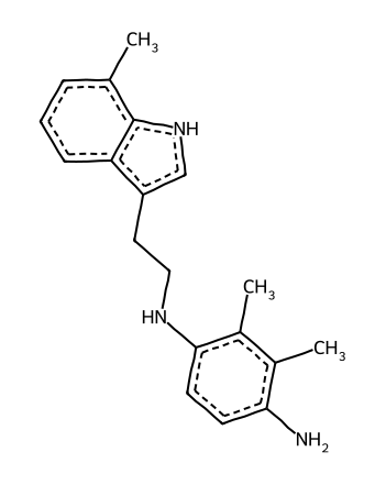 Cc1c(N)ccc(NCCc2c[nH]c3c(C)cccc23)c1C